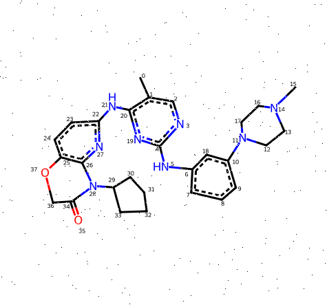 Cc1cnc(Nc2cccc(N3CCN(C)CC3)c2)nc1Nc1ccc2c(n1)N(C1CCCC1)C(=O)CO2